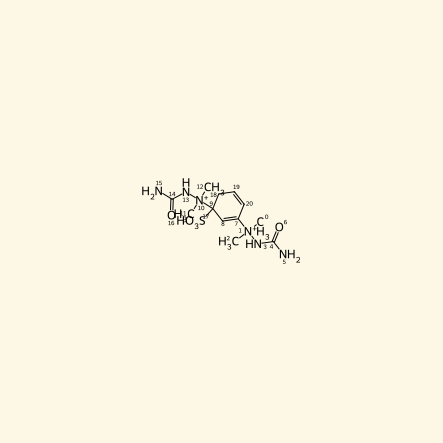 C[N+](C)(NC(N)=O)C1=CC([N+](C)(C)NC(N)=O)(S(=O)(=O)O)CC=C1